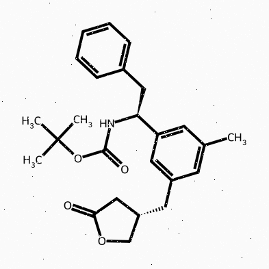 Cc1cc(C[C@@H]2COC(=O)C2)cc([C@H](Cc2ccccc2)NC(=O)OC(C)(C)C)c1